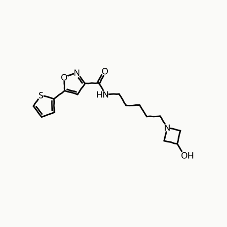 O=C(NCCCCCN1CC(O)C1)c1cc(-c2cccs2)on1